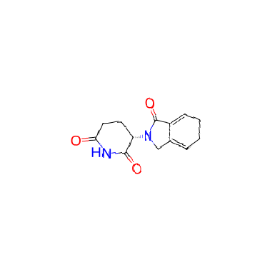 O=C1CC[C@H](N2CC3=CCCC=C3C2=O)C(=O)N1